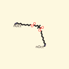 CCCCCCCC/C=C\CCCCCCCCOC(=O)CCC(C)(C)C(=O)OCCCCCCCC/C=C\CCCCCCCC